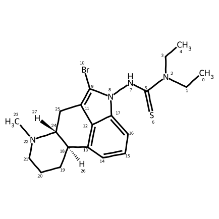 CCN(CC)C(=S)Nn1c(Br)c2c3c(cccc31)[C@H]1CCCN(C)[C@@H]1C2